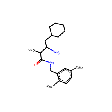 COc1ccc(OC)c(CNC(=O)C(OC)C(N)CC2CCCCC2)c1